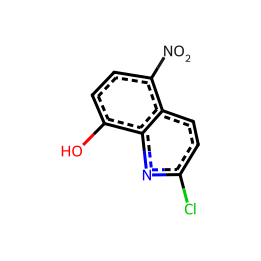 O=[N+]([O-])c1ccc(O)c2nc(Cl)ccc12